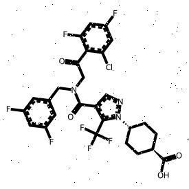 O=C(CN(Cc1cc(F)cc(F)c1)C(=O)c1cnn([C@H]2CC[C@H](C(=O)O)CC2)c1C(F)(F)F)c1c(F)cc(F)cc1Cl